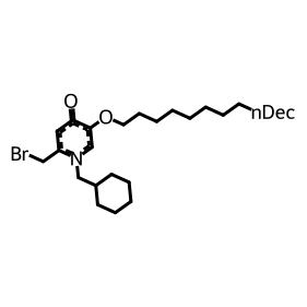 CCCCCCCCCCCCCCCCCCOc1cn(CC2CCCCC2)c(CBr)cc1=O